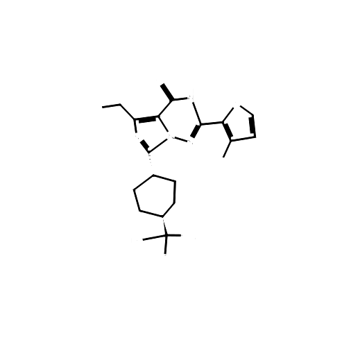 CCc1nc([C@H]2CC[C@H](C(C)(C)C)CC2)n2nc(-c3sccc3Br)[nH]c(=O)c12